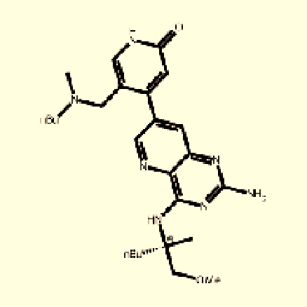 CCCCN(C)Cc1c[nH]c(=O)cc1-c1cnc2c(N[C@](C)(CCCC)COC)nc(N)nc2c1